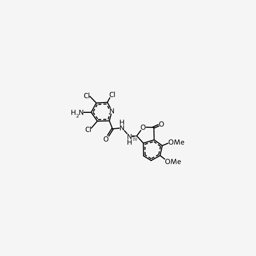 COc1ccc2c(c1OC)C(=O)O[C@@H]2NNC(=O)c1nc(Cl)c(Cl)c(N)c1Cl